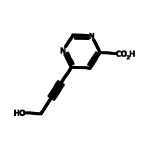 O=C(O)c1cc(C#CCO)ncn1